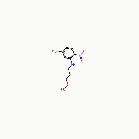 COCCCNc1cc(C)ccc1[N+](=O)[O-]